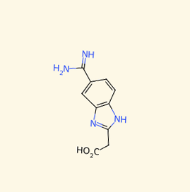 N=C(N)c1ccc2[nH]c(CC(=O)O)nc2c1